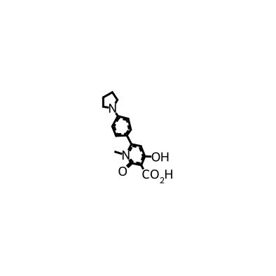 Cn1c(-c2ccc(N3CCCC3)cc2)cc(O)c(C(=O)O)c1=O